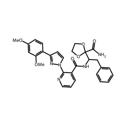 COc1ccc(-c2ccn(-c3ncccc3C(=O)NC(Cc3ccccc3)C3(C(N)=O)OCCO3)n2)c(OC)c1